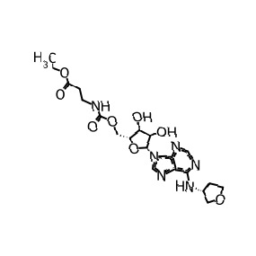 CCOC(=O)CCNC(=O)OC[C@H]1O[C@@H](n2cnc3c(N[C@@H]4CCOC4)ncnc32)[C@H](O)[C@@H]1O